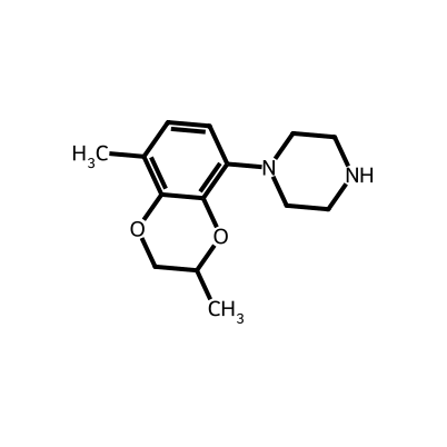 Cc1ccc(N2CCNCC2)c2c1OCC(C)O2